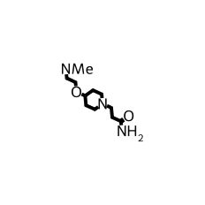 CNCCOC1CCN(CCC(N)=O)CC1